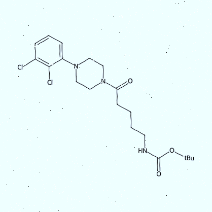 CC(C)(C)OC(=O)NCCCCC(=O)N1CCN(c2cccc(Cl)c2Cl)CC1